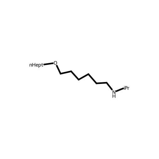 CCCCCCCOCCCCCCNC(C)C